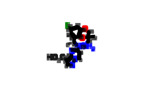 C[C@@H](Nc1ccn2ncc(C(=O)O)c2n1)c1cc(F)cc2c1OC(C)(CN)CO2